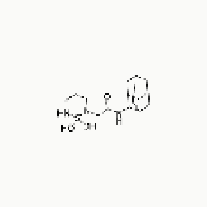 O=C(CN1CCCNS1(O)O)NC1C2CC3CC(C2)CC1C3